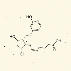 O=C(O)CCC/C=C\C[C@@H]1[C@@H](COc2cccc(O)c2)[C@H](O)C[C@H]1Cl